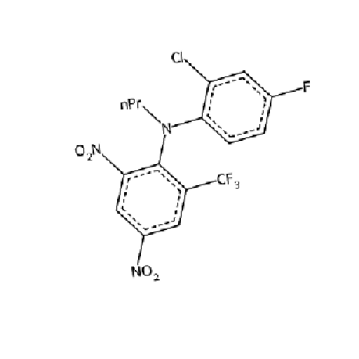 CCCN(c1ccc(F)cc1Cl)c1c([N+](=O)[O-])cc([N+](=O)[O-])cc1C(F)(F)F